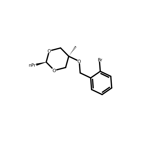 CCC[C@H]1OC[C@@](C)(OCc2ccccc2Br)CO1